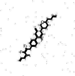 C=C/C=C(C)\C(F)=C(\F)Cc1ccc(C(=C/C=C)/C(F)=C\CC2CCC(CCC=C)OC2)cc1